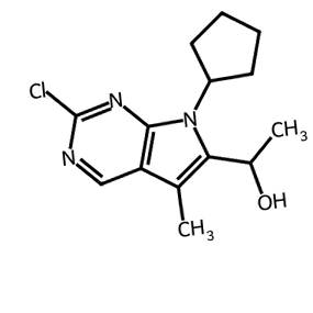 Cc1c(C(C)O)n(C2CCCC2)c2nc(Cl)ncc12